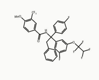 COc1ccc(C(=O)NC(Cc2ccccc2)(c2ccc(F)cc2)c2cc(F)cc(OC(F)(F)C(F)F)c2)cc1C(F)(F)F